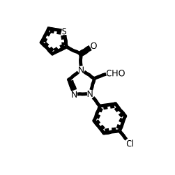 O=CC1N(C(=O)c2cccs2)C=NN1c1ccc(Cl)cc1